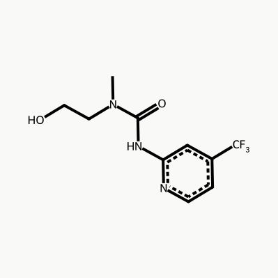 CN(CCO)C(=O)Nc1cc(C(F)(F)F)ccn1